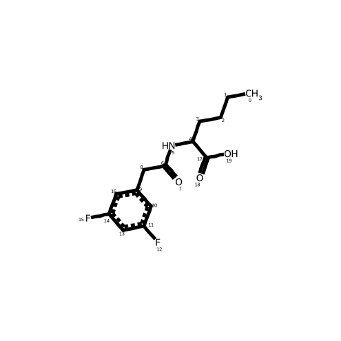 CCCCC(NC(=O)Cc1cc(F)cc(F)c1)C(=O)O